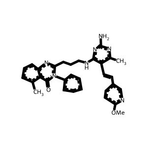 COc1ccc(/C=C/c2c(C)nc(N)nc2NCCCc2nc3cccc(C)c3c(=O)n2-c2ccccc2)cn1